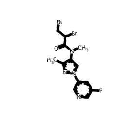 Cc1nn(-c2cncc(F)c2)cc1N(C)C(=O)C(Br)CBr